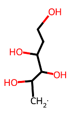 [CH2]C(O)C(O)C(O)CCO